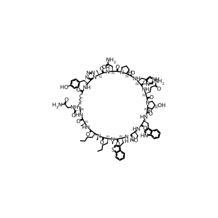 CCCC[C@H]1C(=O)N(C)[C@@H](CCCC)C(=O)N[C@@H](C)C(=O)N[C@H](C(=O)NCC(N)=O)CSCC(=O)N[C@@H](Cc2ccc(O)cc2)c2nnnn2[C@@H](C)C(=O)N[C@@H](CC(N)=O)C(=O)N2CCC[C@H]2C(=O)N[C@@H](Cc2c[nH]cn2)C(=O)N[C@@H](CCC(N)=O)C(=O)N2C[C@H](O)C[C@H]2C(=O)N[C@@H](Cc2c[nH]c3ccccc23)C(=O)N[C@@H](CO)C(=O)N[C@@H](Cc2csc3ccccc23)C(=O)N1C